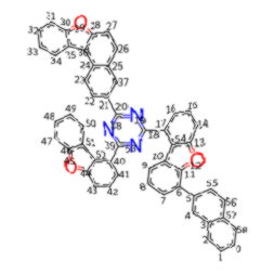 c1ccc2cc(-c3cccc4c3oc3cccc(-c5nc(-c6ccc7c(ccc8oc9ccccc9c87)c6)nc(-c6cccc7oc8ccccc8c67)n5)c34)ccc2c1